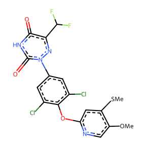 COc1cnc(Oc2c(Cl)cc(-n3nc(C(F)F)c(=O)[nH]c3=O)cc2Cl)cc1SC